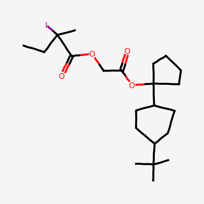 CCC(C)(I)C(=O)OCC(=O)OC1(C2CCC(C(C)(C)C)CC2)CCCC1